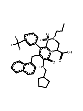 CCCN1CC(C(=O)O)n2c(c(-c3cccc(C(F)(F)F)c3)c(Cc3cccc4ccccc34)c(NCC3CCCC3)c2=O)S1(=O)=O